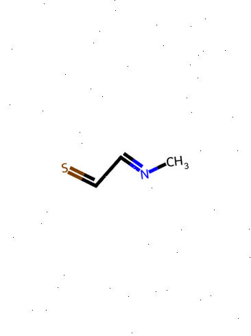 CN=CC=S